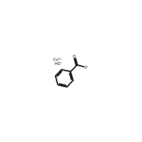 O=C([O-])c1ccccc1.[Cu+2].[OH-]